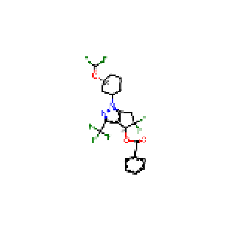 O=C(O[C@H]1c2c(C(F)(F)F)nn(C3CCC[C@@H](OC(F)F)C3)c2CC1(F)F)c1ccccc1